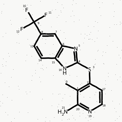 Cc1c(Sc2nc3cc(C(F)(F)F)ccc3[nH]2)ccnc1N